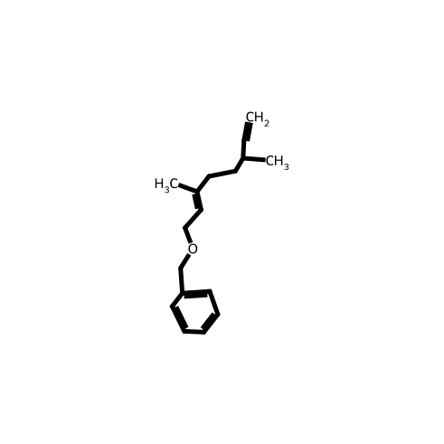 C=CC(C)CC/C(C)=C/COCc1ccccc1